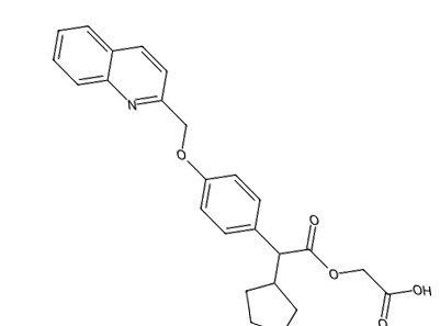 O=C(O)COC(=O)C(c1ccc(OCc2ccc3ccccc3n2)cc1)C1CCCC1